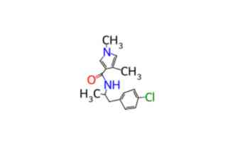 Cc1cn(C)cc1C(=O)NC(C)Cc1ccc(Cl)cc1